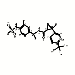 Cc1cc(C(C)NC(=O)C2CC2(C)c2ccc(C(F)(F)F)nc2)ccc1NS(C)(=O)=O